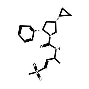 CC(/C=C/S(C)(=O)=O)NC(=O)N1C[C@@H](C2CC2)C[C@H]1c1ccccc1